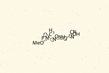 COCCCn1c(C2CCCN(C(=O)C[C@H](N)Cc3ccc(-c4cnc(O)c(C#N)c4)cc3)C2)c(C)c2cccc(F)c21